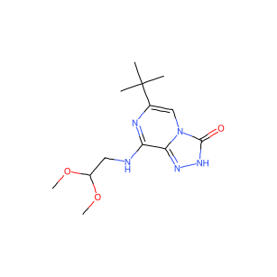 COC(CNc1nc(C(C)(C)C)cn2c(=O)[nH]nc12)OC